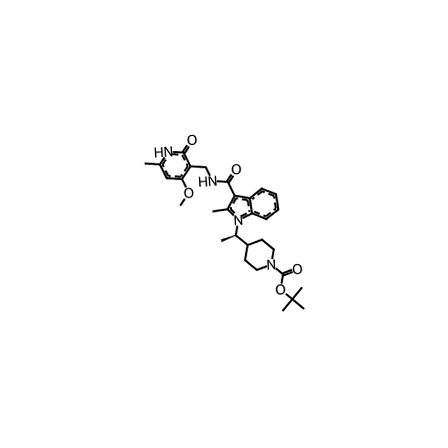 COc1cc(C)[nH]c(=O)c1CNC(=O)c1c(C)n([C@H](C)C2CCN(C(=O)OC(C)(C)C)CC2)c2ccccc12